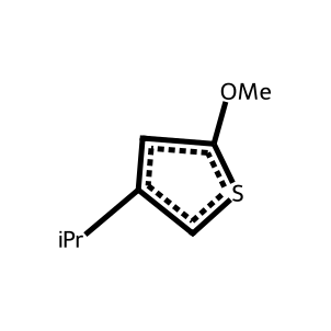 COc1cc(C(C)C)cs1